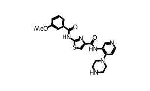 COc1cccc(C(=O)Nc2nc(C(=O)Nc3cnccc3N3CCNCC3)cs2)c1